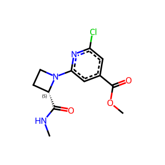 CNC(=O)[C@@H]1CCN1c1cc(C(=O)OC)cc(Cl)n1